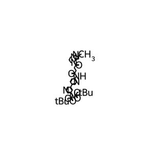 Cc1cc2n(n1)CCCN2C(=O)CCC(=O)Nc1ccc(-c2cncc(N(C(=O)OC(C)(C)C)C(=O)OC(C)(C)C)c2)cn1